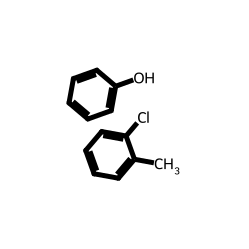 Cc1ccccc1Cl.Oc1ccccc1